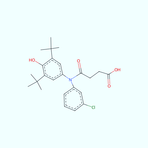 CC(C)(C)c1cc(N(C(=O)CCC(=O)O)c2cccc(Cl)c2)cc(C(C)(C)C)c1O